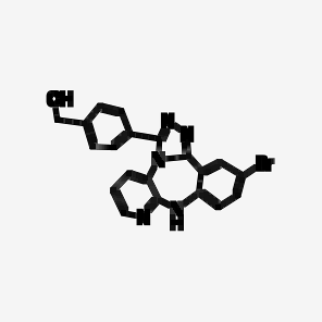 OCc1ccc(-c2nnc3n2-c2cccnc2Nc2ccc(Br)cc2-3)cc1